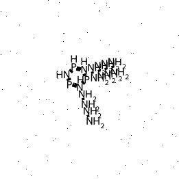 NN.NN.NN.NN.NN.NN.n1p[nH][pH][nH][pH]1